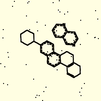 C1=CC2=C(CC1)CCc1c2ccc2cc(C3CCCCC3)ccc12.c1cnc2ccncc2c1